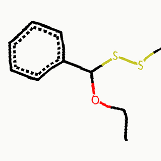 CCOC(SSC)c1ccccc1